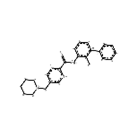 Cc1c(NC(=O)c2ncc(CN3CCCCC3)cn2)cccc1-c1ccccc1